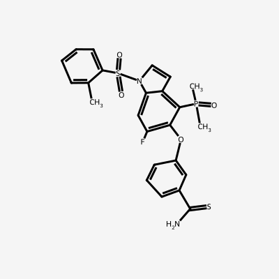 Cc1ccccc1S(=O)(=O)n1ccc2c(P(C)(C)=O)c(Oc3cccc(C(N)=S)c3)c(F)cc21